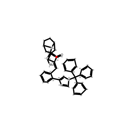 CC(C)(C)OC(=O)N1C2CCC1CC1(C/C(=C\c3ccccc3-c3cn(C(c4ccccc4)(c4ccccc4)c4ccccc4)cn3)C1=O)C2